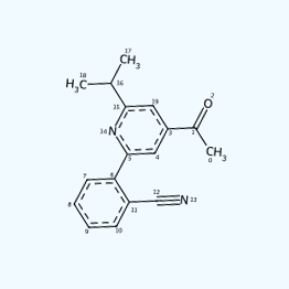 CC(=O)c1cc(-c2ccccc2C#N)nc(C(C)C)c1